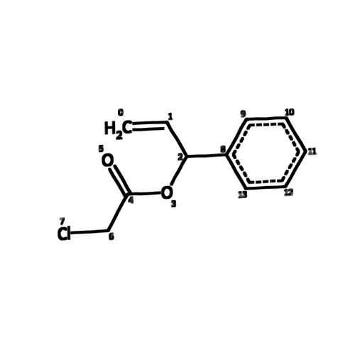 C=CC(OC(=O)CCl)c1ccccc1